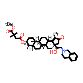 CC(C)C1=C2[C@H]3CC[C@@H]4[C@@]5(C)CC[C@H](OC(=O)CC(C)(C)C(=O)OC(C)(C)C)[C@H](C)[C@@H]5CC[C@@]4(C)[C@]3(C)CC[C@@]2([C@@H](O)CN2CCc3ccccc3C2)CC1=O